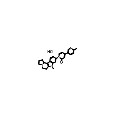 Cc1ccc(-c2ccn(-c3ccc4c5c(n(C)c4c3)CCN3CCCC53)c(=O)c2)cn1.Cl